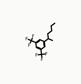 CCCCC(C)c1cc(C(F)(F)F)cc(C(F)(F)F)c1